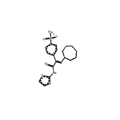 CS(=O)(=O)c1ccc(/C(=C\C2CCCCCC2)C(=O)Nc2nccs2)cc1